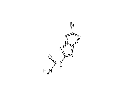 NC(=O)Nc1nc2ccc(Br)cn2n1